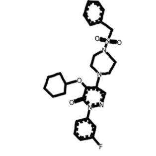 O=c1c(OC2CCCCC2)c(N2CCN(S(=O)(=O)Cc3ccccc3)CC2)cnn1-c1cccc(F)c1